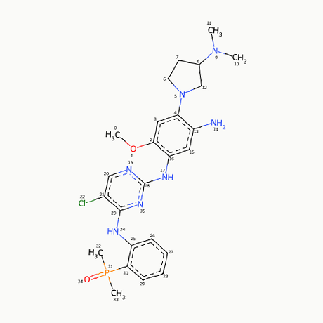 COc1cc(N2CCC(N(C)C)C2)c(N)cc1Nc1ncc(Cl)c(Nc2ccccc2P(C)(C)=O)n1